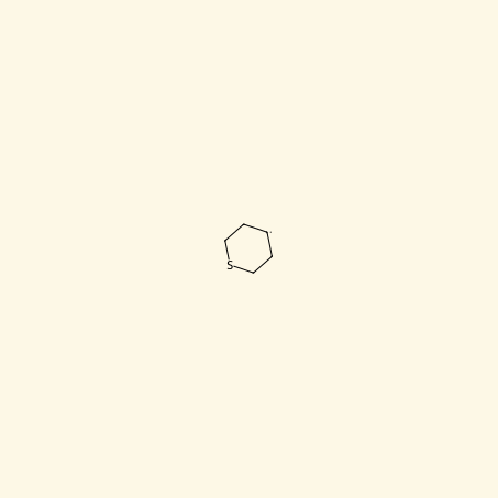 [CH]1CCSCC1